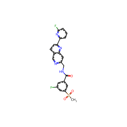 CS(=O)(=O)c1cc(F)cc(C(=O)NCc2cc3nc(-c4cccc(F)n4)ccc3cn2)c1